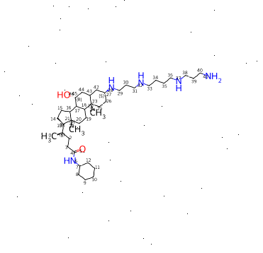 C[C@H](CCC(=O)NC1CCCCC1)[C@H]1CCC2C3C(CC[C@@]21C)[C@@]1(C)CC[C@H](NCCCNCCCCNCCCN)CC1C[C@H]3O